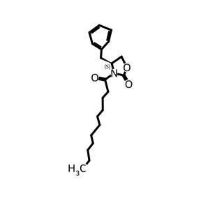 CCCCCCCCCCC(=O)N1C(=O)OC[C@@H]1Cc1ccccc1